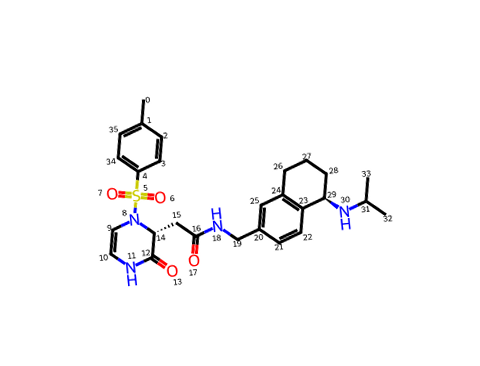 Cc1ccc(S(=O)(=O)N2C=CNC(=O)[C@H]2CC(=O)NCc2ccc3c(c2)CCC[C@H]3NC(C)C)cc1